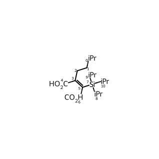 CC(C)CC/C(C(=O)O)=C(/C(=O)O)[Si](C(C)C)(C(C)C)C(C)C